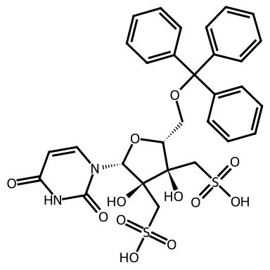 O=c1ccn([C@@H]2O[C@H](COC(c3ccccc3)(c3ccccc3)c3ccccc3)[C@](O)(CS(=O)(=O)O)[C@]2(O)CS(=O)(=O)O)c(=O)[nH]1